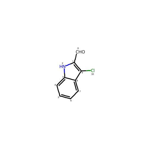 O=Cc1[nH]c2ccccc2c1Cl